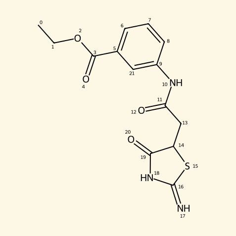 CCOC(=O)c1cccc(NC(=O)CC2SC(=N)NC2=O)c1